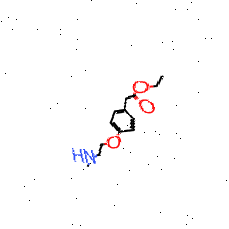 CCOC(=O)Cc1ccc(OCCNC)cc1